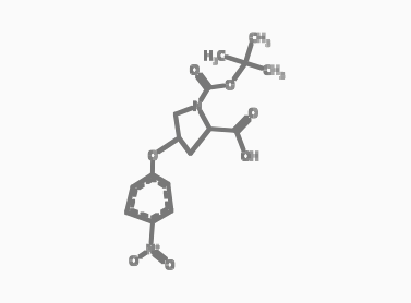 CC(C)(C)OC(=O)N1CC(Oc2ccc([N+](=O)[O-])cc2)CC1C(=O)O